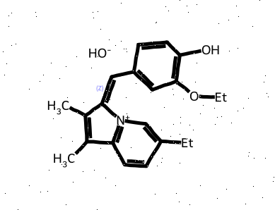 CCOc1cc(/C=C2/C(C)=C(C)c3ccc(CC)c[n+]32)ccc1O.[OH-]